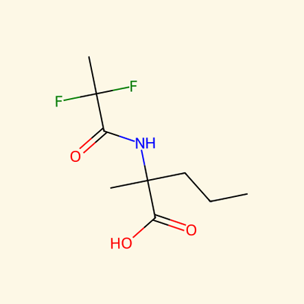 CCCC(C)(NC(=O)C(C)(F)F)C(=O)O